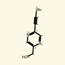 CC(C)(C)C#Cc1cnc(CO)cn1